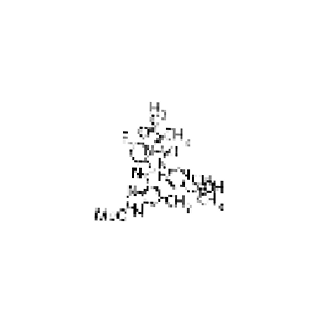 COc1cnc2c(-c3nc4cc(F)c(O[C@@H](C)[C@@H](C)OC(=O)Nc5ccc(CC(C)(C)O)nc5)nc4s3)cc(C)cc2n1